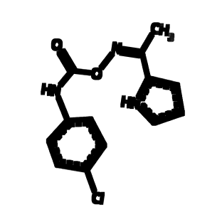 CC(=NOC(=O)Nc1ccc(Cl)cc1)c1ccc[nH]1